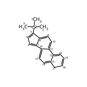 C[Si](C)(C)C1=CC=c2c1ccc1c3c(ccc21)CC=CC=3